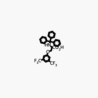 O=C(O)C(COc1cc(C(F)(F)F)cc(C(F)(F)F)c1)NC(c1ccccc1)(c1ccccc1)c1ccccc1